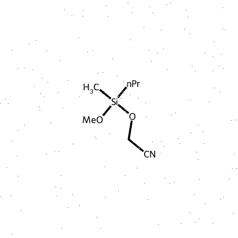 CCC[Si](C)(OC)OCC#N